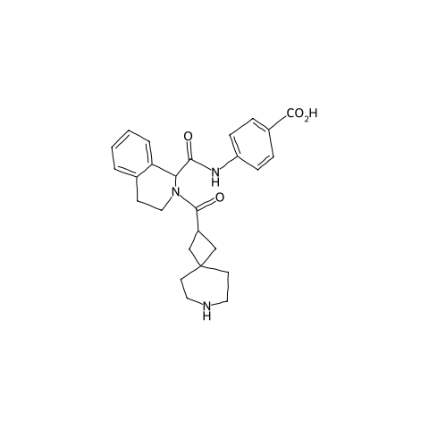 O=C(O)c1ccc(NC(=O)C2c3ccccc3CCN2C(=O)C2CC3(CCNCC3)C2)cc1